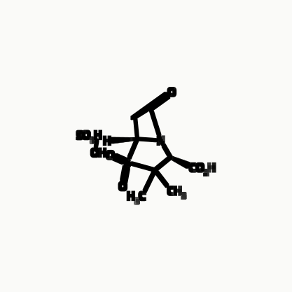 CC1(C)[C@H](C(=O)O)N2C(=O)C[C@H]2S1(=O)=O.O=S(=O)(O)O